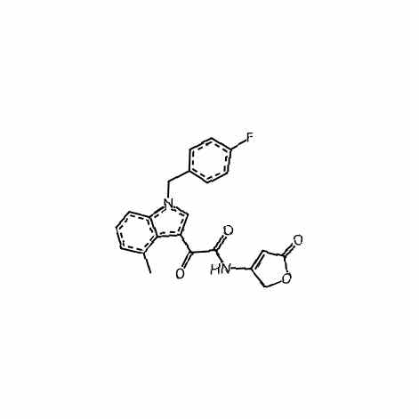 Cc1cccc2c1c(C(=O)C(=O)NC1=CC(=O)OC1)cn2Cc1ccc(F)cc1